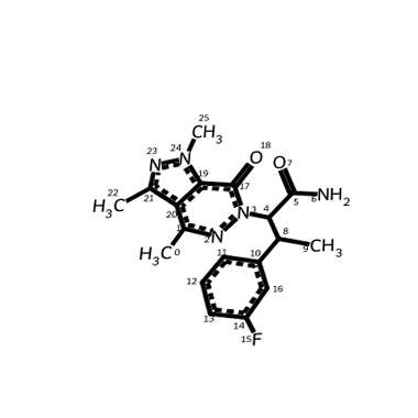 Cc1nn(C(C(N)=O)C(C)c2cccc(F)c2)c(=O)c2c1c(C)nn2C